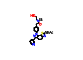 CCN(CCO)C(=O)Cc1ccc(-n2nc(-c3cccnc3)c3c2-c2sc(NC(C)=O)nc2CC3)cc1